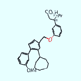 CCC[C@H](CC(=O)O)c1cccc(OCc2ccc(-c3cccc(OC)c3)c(C3CCCCCC3)c2)c1